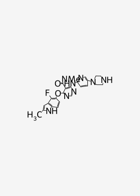 CNC(=O)c1c(Nc2ccc(N3CCNCC3)cn2)ncnc1Oc1ccc2[nH]c(C)cc2c1F